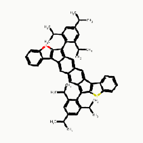 CC(C)c1cc(C(C)C)c(C2=c3cc4cc5c(cc4cc3-c3c2oc2ccccc32)=C(c2c(C(C)C)cc(C(C)C)cc2C(C)C)c2sc3ccccc3c2-5)c(C(C)C)c1